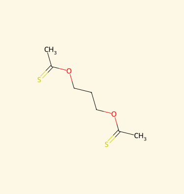 CC(=S)OCCCOC(C)=S